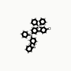 Clc1ccc2c(c1)S(c1ccccc1)(c1ccccc1)c1ccc(N(c3ccccc3)c3ccc4sc5ccccc5c4c3)cc1-2